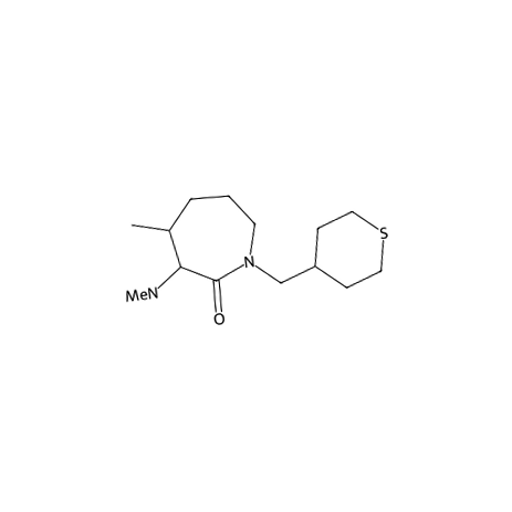 CNC1C(=O)N(CC2CCSCC2)CCCC1C